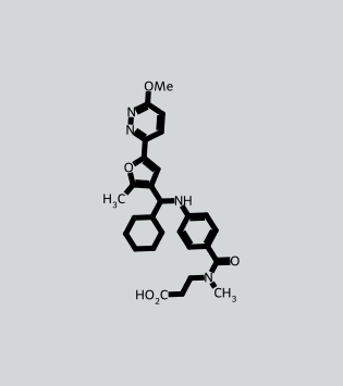 COc1ccc(-c2cc(C(Nc3ccc(C(=O)N(C)CCC(=O)O)cc3)C3CCCCC3)c(C)o2)nn1